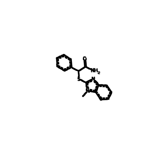 Cn1c(SC(C(N)=O)c2ccccc2)nc2ccccc21